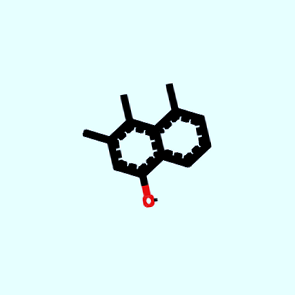 Cc1cc([O])c2cccc(C)c2c1C